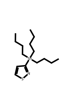 CCC[CH2][Sn]([CH2]CCC)([CH2]CCC)[c]1ccsn1